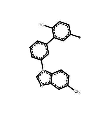 Oc1ccc(F)cc1-c1cccc(-n2cnc3cc(C(F)(F)F)ccc32)c1